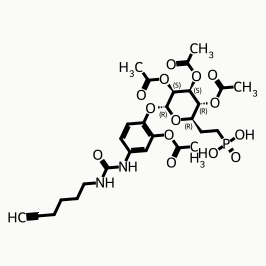 C#CCCCCNC(=O)Nc1ccc(O[C@H]2O[C@H](CCP(=O)(O)O)[C@@H](OC(C)=O)[C@H](OC(C)=O)[C@@H]2OC(C)=O)c(OC(C)=O)c1